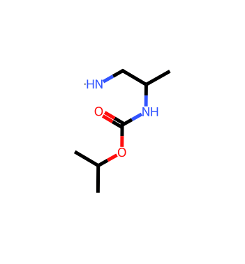 CC(C[NH])NC(=O)OC(C)C